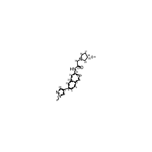 Cn1cc(-c2ccc3cnc(NC(=O)CN4CC[C@H](I)C4)cc3c2)cn1